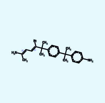 CC/C(=C\C=C(/C)N)C(C)(C)c1ccc(C(C)(C)c2ccc(N)cc2)cc1